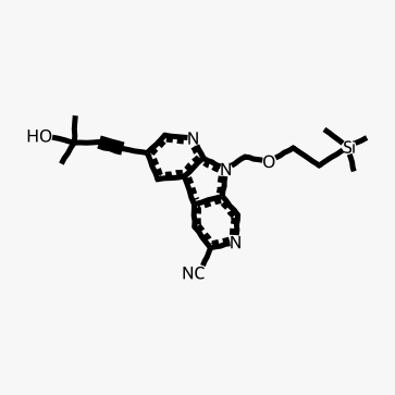 CC(C)(O)C#Cc1cnc2c(c1)c1cc(C#N)ncc1n2COCC[Si](C)(C)C